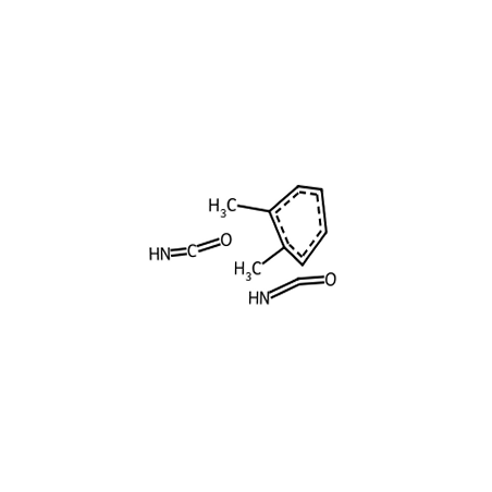 Cc1ccccc1C.N=C=O.N=C=O